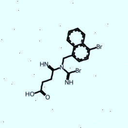 N=C(Br)N(Cc1ccc(Br)c2ccccc12)C(=N)CCC(=O)O